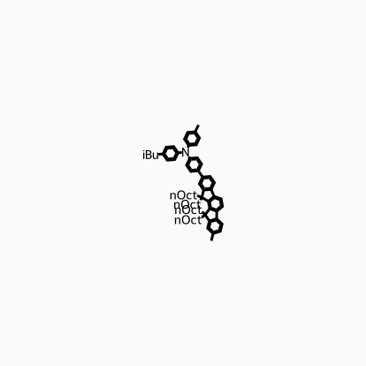 CCCCCCCCC1(CCCCCCCC)c2cc(C)ccc2-c2ccc3c(c21)C(CCCCCCCC)(CCCCCCCC)c1cc(-c2ccc(N(c4ccc(C)cc4)c4ccc(C(C)CC)cc4)cc2)ccc1-3